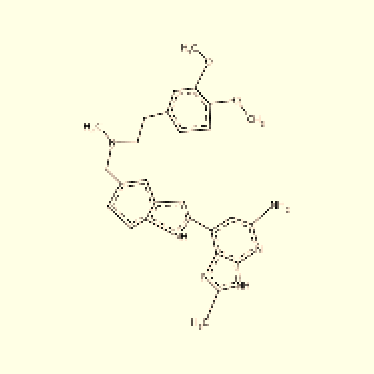 COc1ccc(CCN(C)Cc2ccc3[nH]c(-c4cc(N)nc5[nH]c(C)nc45)cc3c2)cc1OC